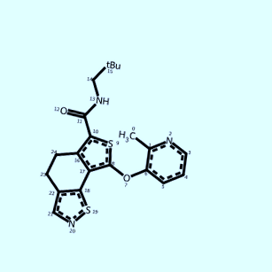 Cc1ncccc1Oc1sc(C(=O)NCC(C)(C)C)c2c1-c1sncc1CC2